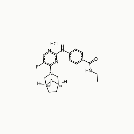 CCNC(=O)c1ccc(Nc2ncc(F)c(N3C[C@H]4CC[C@@H](C3)N4)n2)cc1.Cl